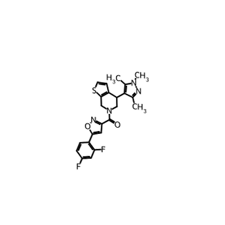 Cc1nn(C)c(C)c1C1CN(C(=O)c2cc(-c3ccc(F)cc3F)on2)Cc2sccc21